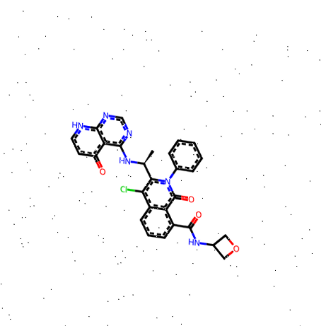 C[C@H](Nc1ncnc2[nH]ccc(=O)c12)c1c(Cl)c2cccc(C(=O)NC3COC3)c2c(=O)n1-c1ccccc1